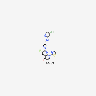 O=C(O)c1cn(-c2nccs2)c2nc(N3CC(CNc4cc(Cl)ccn4)C3)c(F)cc2c1=O